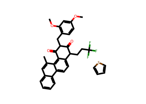 COc1ccc(CC2C(=O)c3c(ccc4c3c(C)cc3ccccc34)C(CCC(F)(F)F)C2=O)c(OC)c1.c1ccsc1